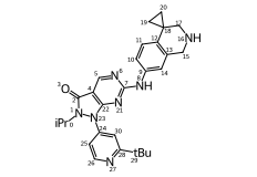 CC(C)n1c(=O)c2cnc(Nc3ccc4c(c3)CNCC43CC3)nc2n1-c1ccnc(C(C)(C)C)c1